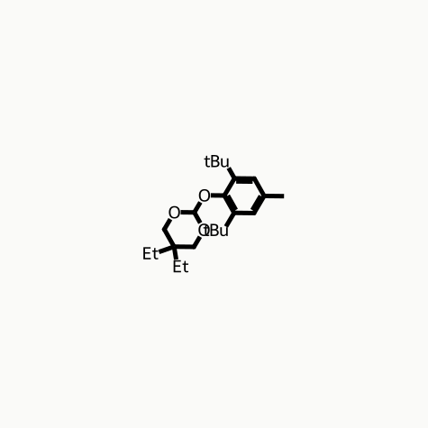 CCC1(CC)COC(Oc2c(C(C)(C)C)cc(C)cc2C(C)(C)C)OC1